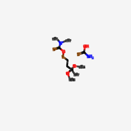 CCCCO[Si](CCC)(CCSOC(=S)N(CCC)CCC)OCCCC.NC(O)=S